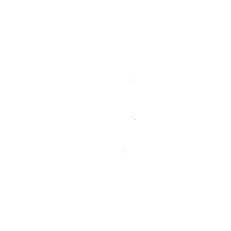 CCc1oc(N)nc1N